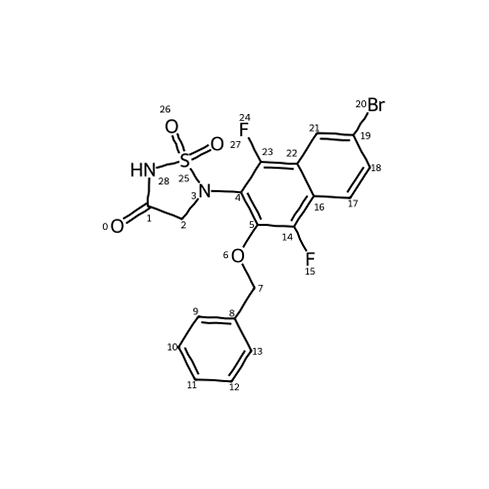 O=C1CN(c2c(OCc3ccccc3)c(F)c3ccc(Br)cc3c2F)S(=O)(=O)N1